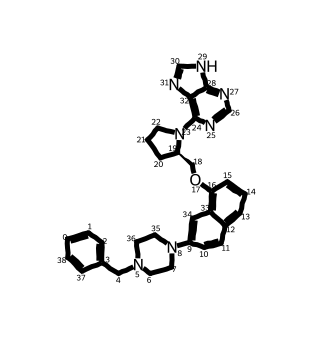 c1ccc(CN2CCN(c3ccc4cccc(OC[C@H]5CCCN5c5ncnc6[nH]cnc56)c4c3)CC2)cc1